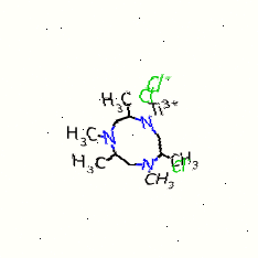 CC1C[N]([Ti+3])C(C)CN(C)C(C)CN1C.[Cl-].[Cl-].[Cl-]